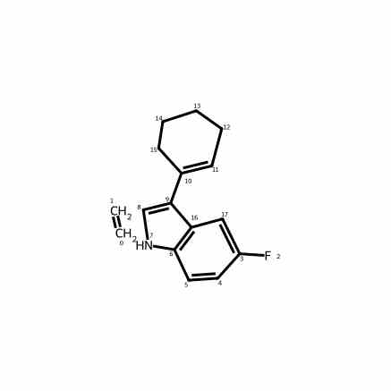 C=C.Fc1ccc2[nH]cc(C3=CCCCC3)c2c1